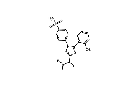 Cc1ccccc1-c1cc(C(F)C(F)F)nn1-c1ccc(S(N)(=O)=O)cc1